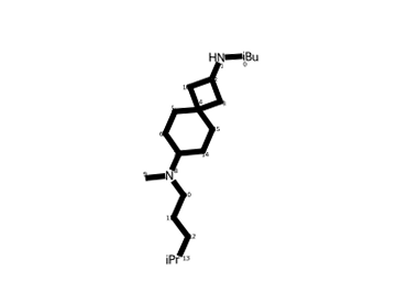 CCC(C)NC1CC2(CCC(N(C)CCCC(C)C)CC2)C1